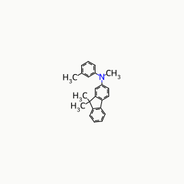 Cc1cccc(N(C)c2ccc3c(c2)C(C)(C)c2ccccc2-3)c1